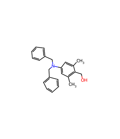 Cc1cc(N(Cc2ccccc2)Cc2ccccc2)cc(C)c1CO